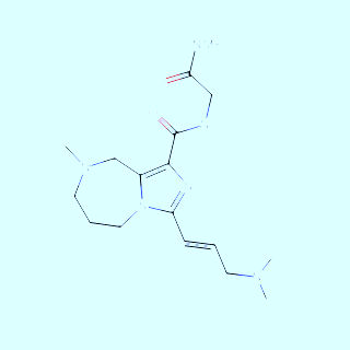 CCN(CC)C/C=C/c1nc(C(=O)N[C@H](C(=O)NC)C(C)(C)C)c2n1CCCN(C)C2